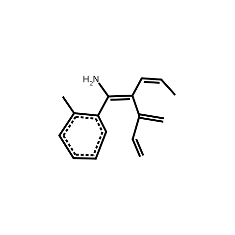 C=CC(=C)C(/C=C\C)=C(/N)c1ccccc1C